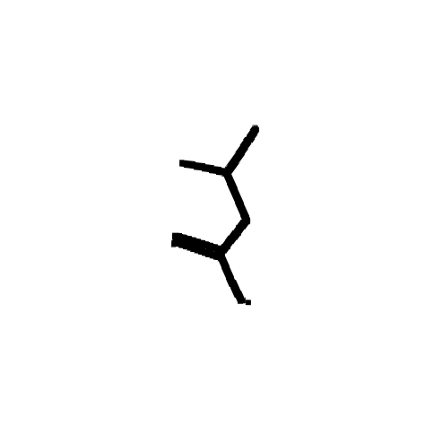 [CH2]C(=C)CC(C)C